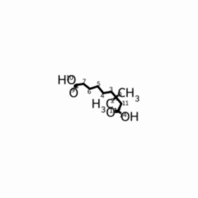 CC(C)(CCCCCC(=O)O)CC(=O)O